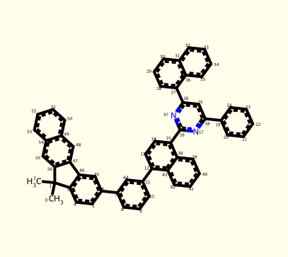 CC1(C)c2ccc(-c3cccc(-c4ccc(-c5nc(-c6ccccc6)cc(-c6cccc7ccccc67)n5)c5ccccc45)c3)cc2-c2cc3ccccc3cc21